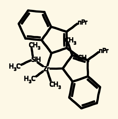 CCCC1=C(C)[CH]([Zr]([CH3])([CH3])([CH]2C(C)=C(CCC)c3ccccc32)[SiH](C)C)c2ccccc21